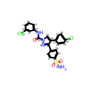 NS(=O)(=O)c1ccc(-c2nn(C(=O)Nc3cccc(Cl)c3)[c]c2-c2ccc(Cl)cc2)cc1